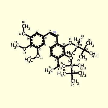 CCc1ccc(/C=C\c2cc(OC)c(OC)c(OC)c2)c(O[Si](C)(C)C(C)(C)C)c1O[Si](C)(C)C(C)(C)C